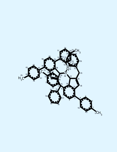 Cc1ccc(-c2ccc(-c3ccc(C)cc3)c3c2C=C(Cc2ccccc2)[CH]3[Zr]([CH]2C(Cc3ccccc3)=Cc3c(-c4ccc(C)cc4)ccc(-c4ccc(C)cc4)c32)[SiH](C)C)cc1